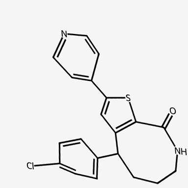 O=C1NCCCC(c2ccc(Cl)cc2)c2cc(-c3ccncc3)sc21